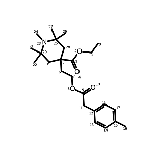 CCOC(=O)C1(CCOC(=O)Cc2ccc(C)cc2)CC(C)(C)N(C)C(C)(C)C1